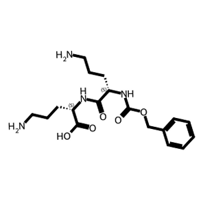 NCCC[C@H](NC(=O)[C@H](CCCN)NC(=O)OCc1ccccc1)C(=O)O